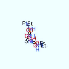 CCN(CC)CCCNS(=O)(=O)c1ccc(NC(=O)c2cc3ccccc3c(N=Nc3ccc(S(=O)(=O)NCCN(CC)CC)cc3)c2O)cc1